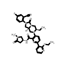 CCOc1ncccc1-c1ccc(N2C[C@H]3CN(c4ccc(F)cc4C#N)C(=O)N3C[C@H]2CC)c(C(=O)N[C@@H]2CC(=O)N(C)C2)n1